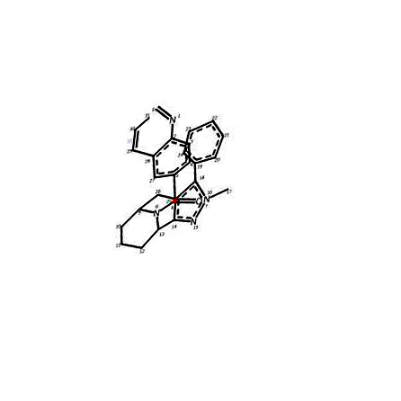 C=Nc1ccc(C(=O)N2C3CCCC2c2nn(C)c(-c4ccccc4)c2C3)cc1/C=C\C